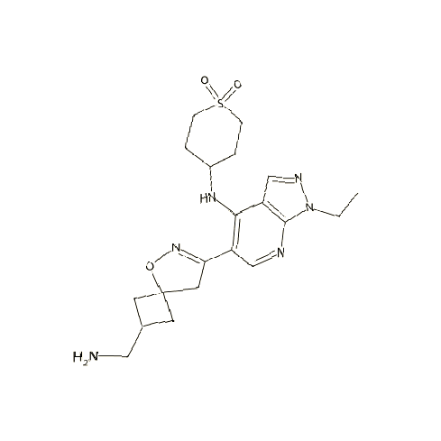 CCn1ncc2c(NC3CCS(=O)(=O)CC3)c(C3=NOC4(C3)CC(CN)C4)cnc21